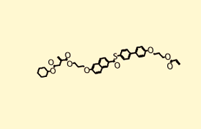 C=CC(=O)OCCCOc1ccc(-c2ccc(SC(=O)c3ccc4cc(OCCCOC(=O)C(=C)CC(=O)OC5CCCCC5)ccc4c3)cc2)cc1